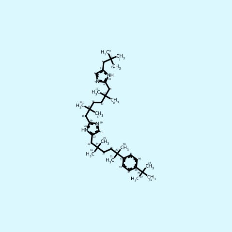 CC(C)(C)Cc1cnc(CC(C)(C)CCC(C)(C)Cc2ncc(CC(C)(C)CCC(C)(C)c3ccc(C(C)(C)C)cc3)[nH]2)[nH]1